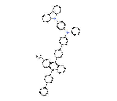 Cc1ccc2c(-c3ccc(-c4ccccc4)cc3)c3ccccc3c(-c3ccc(-c4ccc(N(c5ccccc5)c5ccc(N6c7ccccc7C7C=CC=CC76)cc5)cc4)cc3)c2c1